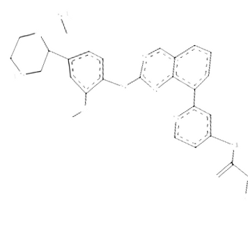 C=CC(=O)Nc1ccnc(-c2cccc3cnc(Nc4ccc([C@@]5(CN)CNCCO5)cc4OC)nc23)c1